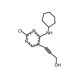 OCC#Cc1cnc(Cl)nc1NC1CCCCC1